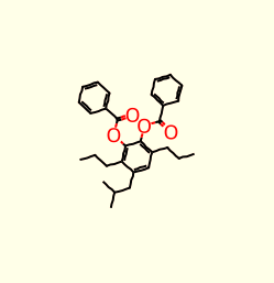 CCCc1cc(CC(C)C)c(CCC)c(OC(=O)c2ccccc2)c1OC(=O)c1ccccc1